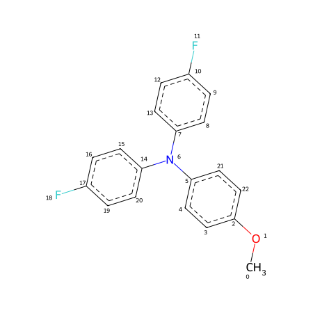 COc1ccc(N(c2ccc(F)cc2)c2ccc(F)cc2)cc1